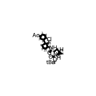 CC(=O)c1ccc(Cl)c(-c2cccc(NC(=O)[C@@H]3C[C@H]4C[C@H]4N3C(=O)OC(C)(C)C)c2F)c1